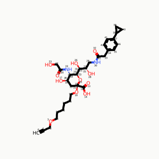 C#CCOCCCCCCO[C@@]1(C(=O)O)C[C@@H](O)[C@H](NC(=O)CO)[C@@H]([C@@H](O)[C@@H](O)CNC(=O)Cc2ccc(C3CC3)cc2)O1